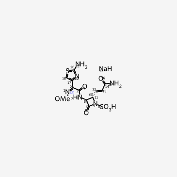 CO/N=C(\C(=O)N[C@@H]1C(=O)N(S(=O)(=O)O)[C@H]1C=CC(N)=O)c1csc(N)n1.[NaH]